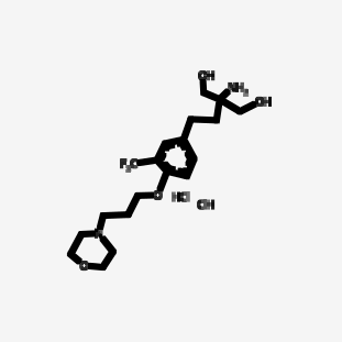 Cl.Cl.NC(CO)(CO)CCc1ccc(OCCCN2CCOCC2)c(C(F)(F)F)c1